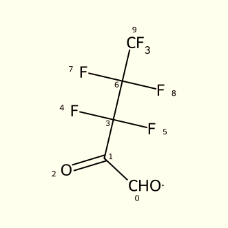 O=[C]C(=O)C(F)(F)C(F)(F)C(F)(F)F